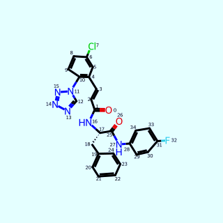 O=C(C=Cc1cc(Cl)ccc1-n1cnnn1)N[C@@H](Cc1ccccc1)C(=O)Nc1ccc(F)cc1